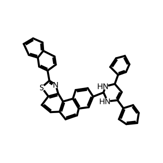 C1=C(c2ccccc2)NC(c2ccc3c(ccc4ccc5sc(-c6ccc7ccccc7c6)nc5c43)c2)NC1c1ccccc1